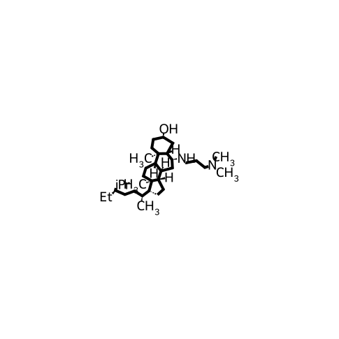 CC[C@H](CC[C@@H](C)[C@H]1CC[C@H]2[C@@H]3C[C@@H](NCCCN(C)C)[C@H]4C[C@@H](O)CC[C@]4(C)[C@H]3CC[C@]12C)C(C)C